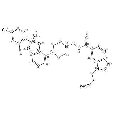 COCCn1cnc2ncc(C(=O)OCN3CCC(c4cccc5c4OC(C)(c4ccc(Cl)cc4F)O5)CC3)cc21